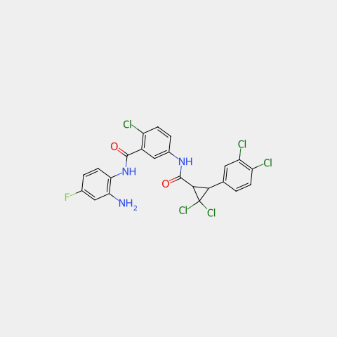 Nc1cc(F)ccc1NC(=O)c1cc(NC(=O)C2C(c3ccc(Cl)c(Cl)c3)C2(Cl)Cl)ccc1Cl